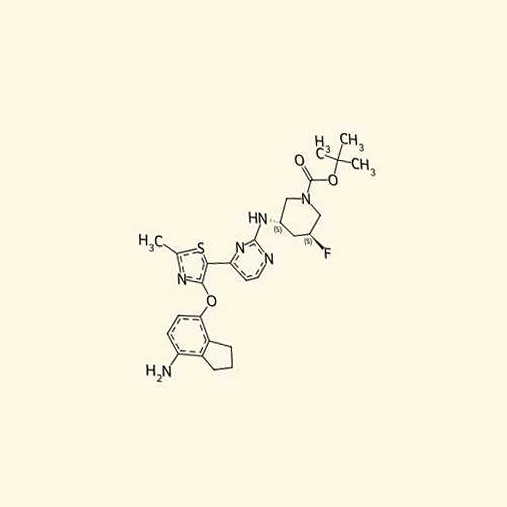 Cc1nc(Oc2ccc(N)c3c2CCC3)c(-c2ccnc(N[C@H]3C[C@H](F)CN(C(=O)OC(C)(C)C)C3)n2)s1